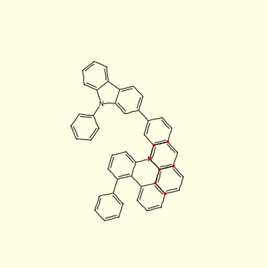 c1ccc(-c2ccccc2-c2c(-c3ccccc3)cccc2N(c2ccccc2)c2cccc(-c3ccc4c5ccccc5n(-c5ccccc5)c4c3)c2)cc1